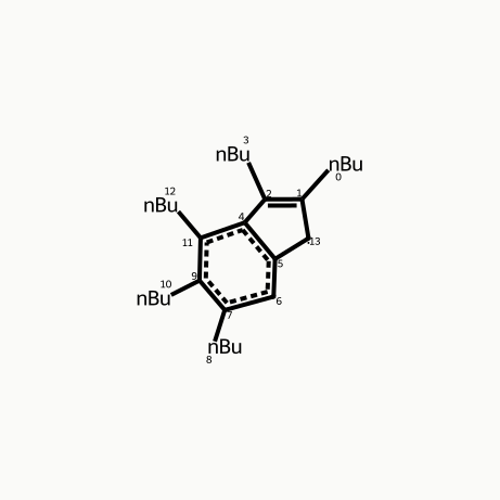 CCCCC1=C(CCCC)c2c(cc(CCCC)c(CCCC)c2CCCC)[CH]1